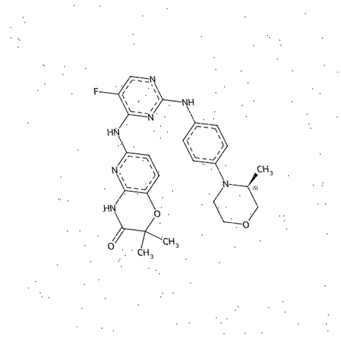 C[C@H]1COCCN1c1ccc(Nc2ncc(F)c(Nc3ccc4c(n3)NC(=O)C(C)(C)O4)n2)cc1